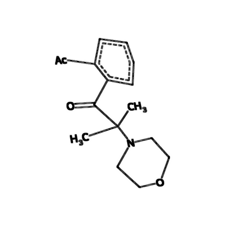 CC(=O)c1ccccc1C(=O)C(C)(C)N1CCOCC1